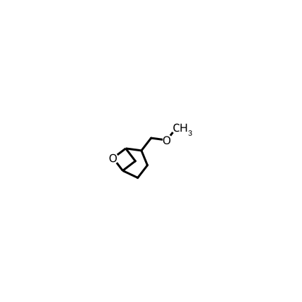 COCC1CCC2CC1O2